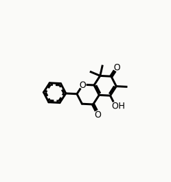 CC1=C(O)C2=C(OC(c3ccccc3)CC2=O)C(C)(C)C1=O